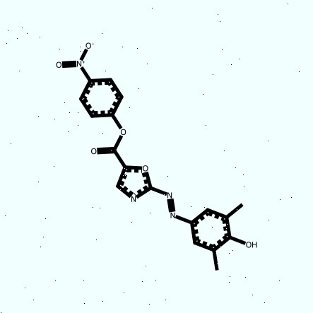 Cc1cc(/N=N/c2ncc(C(=O)Oc3ccc([N+](=O)[O-])cc3)o2)cc(C)c1O